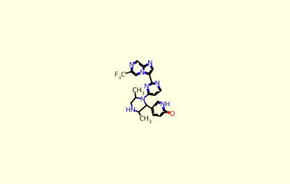 CC1NCC(C)N(c2ccnc(-c3cnc4cnc(C(F)(F)F)cn34)n2)C1c1ccc(=O)[nH]c1